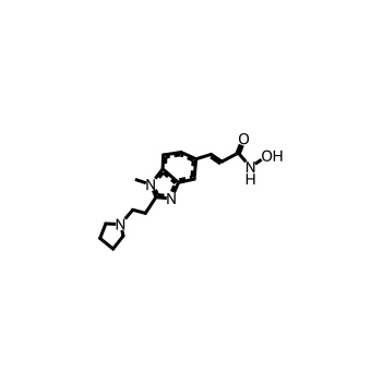 Cn1c(CCN2CCCC2)nc2cc(C=CC(=O)NO)ccc21